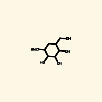 COC1CC(CO)C(O)C(O)C1O